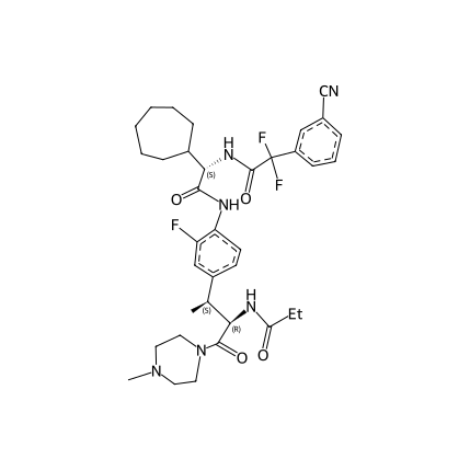 CCC(=O)N[C@@H](C(=O)N1CCN(C)CC1)[C@@H](C)c1ccc(NC(=O)[C@@H](NC(=O)C(F)(F)c2cccc(C#N)c2)C2CCCCCC2)c(F)c1